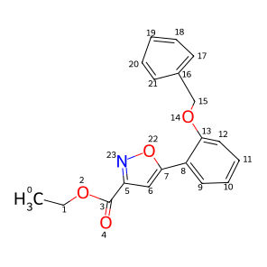 CCOC(=O)c1cc(-c2ccccc2OCc2ccccc2)on1